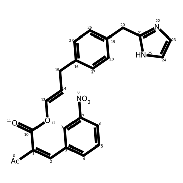 CC(=O)C(=Cc1cccc([N+](=O)[O-])c1)C(=O)OC=CCc1ccc(Cc2ncc[nH]2)cc1